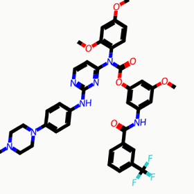 COc1cc(NC(=O)c2cccc(C(F)(F)F)c2)cc(OC(=O)N(c2ccnc(Nc3ccc(N4CCN(C)CC4)cc3)n2)c2ccc(OC)cc2OC)c1